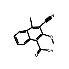 COc1c(C#N)c(C)c2ccccc2c1C(=O)O